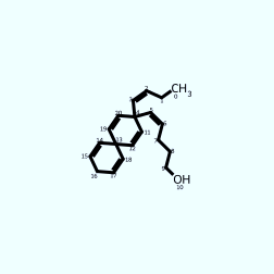 CC/C=C\C1(/C=C\CCCO)C=CC2(C=CCC=C2)C=C1